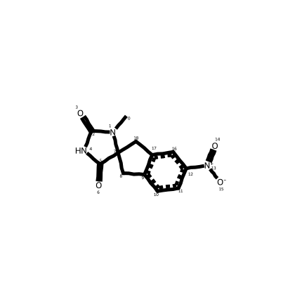 CN1C(=O)NC(=O)C12Cc1ccc([N+](=O)[O-])cc1C2